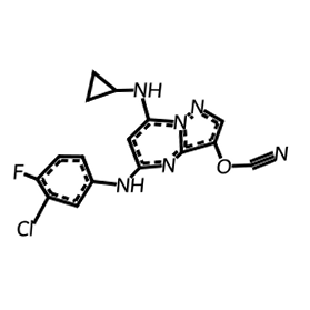 N#COc1cnn2c(NC3CC3)cc(Nc3ccc(F)c(Cl)c3)nc12